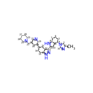 Cc1cn(-c2cccc3[nH]c(-c4n[nH]c5ccc(-c6cncc(CN7CCCCC7)c6)cc45)cc23)cn1